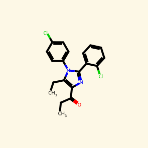 CCC(=O)c1nc(-c2ccccc2Cl)n(-c2ccc(Cl)cc2)c1CC